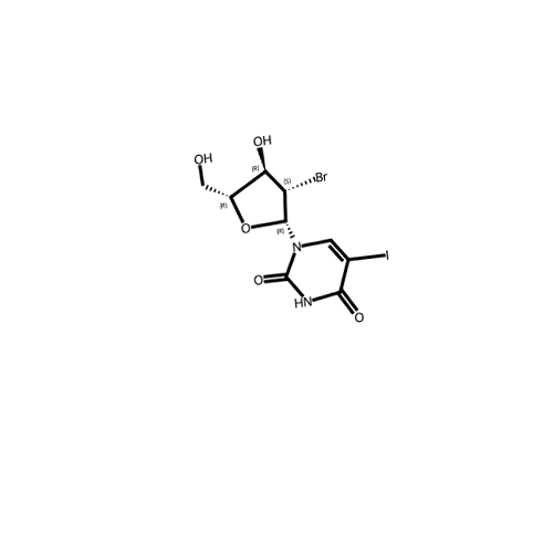 O=c1[nH]c(=O)n([C@@H]2O[C@H](CO)[C@@H](O)[C@@H]2Br)cc1I